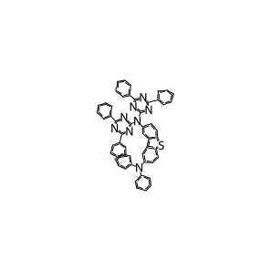 c1ccc(-c2nc(-c3ccccc3)nc(N(c3ccc4sc5ccc(N(c6ccccc6)c6ccccc6)cc5c4c3)c3nc(-c4ccccc4)nc(-c4ccccc4)n3)n2)cc1